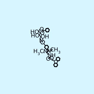 CCn1c(CNC(=O)OCC2c3ccccc3-c3ccccc32)[n+](CC)c2ccc(C3CCN(C[C@H](O)[C@@H](O)[C@@H]4OC(c5ccccc5)OC[C@H]4O)CC3)cc21